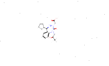 CC(C)(C)C(=O)CN1C(=O)N(CC(=O)O)N=C(C2CCCC2)c2ccccc21